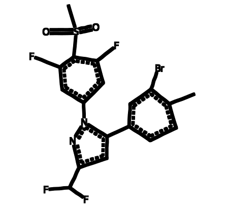 Cc1ccc(-c2cc(C(F)F)nn2-c2cc(F)c(S(C)(=O)=O)c(F)c2)cc1Br